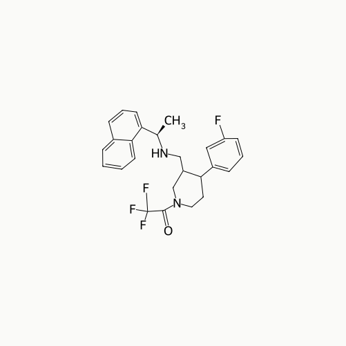 C[C@@H](NCC1CN(C(=O)C(F)(F)F)CCC1c1cccc(F)c1)c1cccc2ccccc12